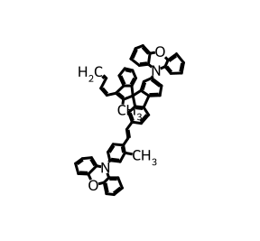 C=C/C=C\C1=C(C)C2(c3ccccc31)c1cc(/C=C/c3ccc(N4c5ccccc5Oc5ccccc54)cc3C)ccc1-c1ccc(N3c4ccccc4Oc4ccccc43)cc12